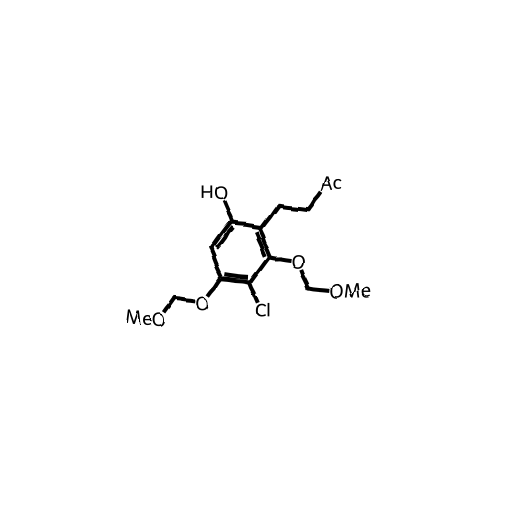 COCOc1cc(O)c(CCC(C)=O)c(OCOC)c1Cl